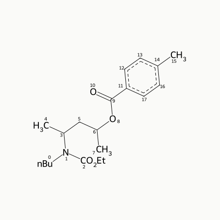 CCCCN(C(=O)OCC)C(C)CC(C)OC(=O)c1ccc(C)cc1